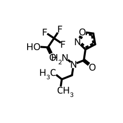 CC(C)CN(N)C(=O)c1ccon1.O=C(O)C(F)(F)F